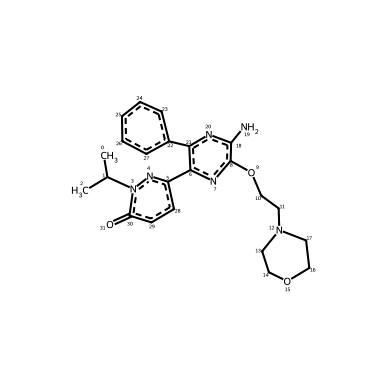 CC(C)n1nc(-c2nc(OCCN3CCOCC3)c(N)nc2-c2ccccc2)ccc1=O